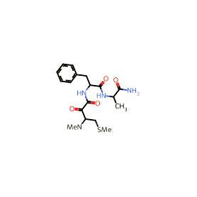 CNC(CSC)C(=O)C(=O)NC(Cc1ccccc1)C(=O)NC(C)C(N)=O